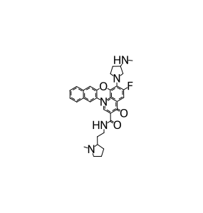 CNC1CCN(c2c(F)cc3c(=O)c(C(=O)NCCC4CCCN4C)cn4c3c2Oc2cc3ccccc3cc2-4)C1